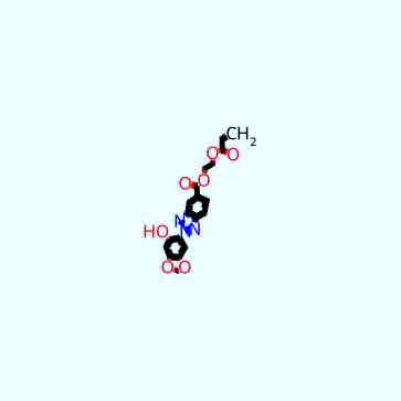 C=CC(=O)OCCOC(=O)c1ccc2nn(-c3cc4c(cc3O)OCO4)nc2c1